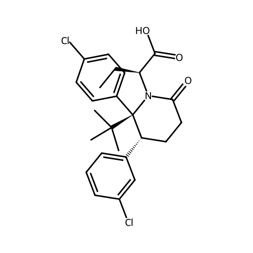 CC[C@@H](C(=O)O)N1C(=O)CC[C@H](c2cccc(Cl)c2)[C@@]1(c1ccc(Cl)cc1)C(C)(C)C